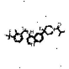 Cc1c([C@@H](C)Nc2ccnc3ccc(C4(F)CCN(C(=O)C(C)C)CC4)cc23)cccc1C(F)(F)F